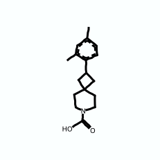 Cc1ccc(C2CC3(CCN(C(=O)O)CC3)C2)c(C)c1